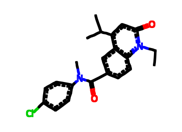 CCn1c(=O)cc(C(C)C)c2cc(C(=O)N(C)c3ccc(Cl)cc3)ccc21